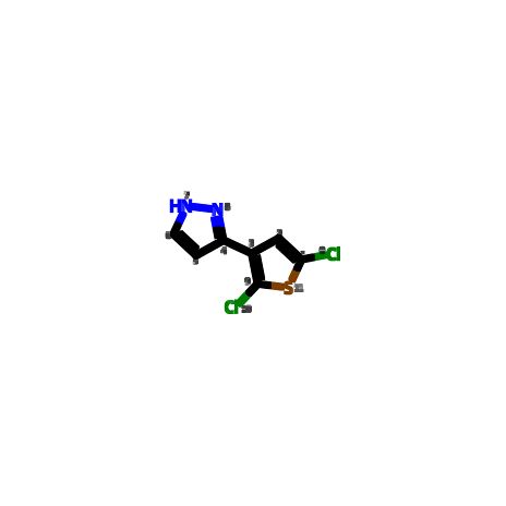 Clc1cc(-c2cc[nH]n2)c(Cl)s1